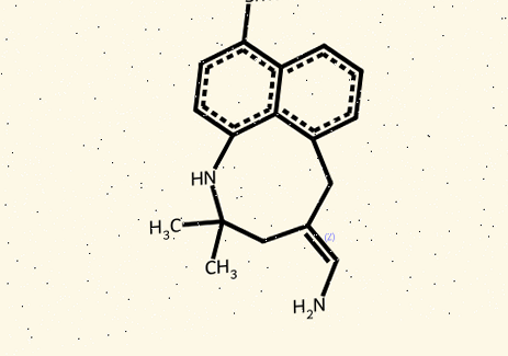 CSc1ccc2c3c(cccc13)C/C(=C/N)CC(C)(C)N2